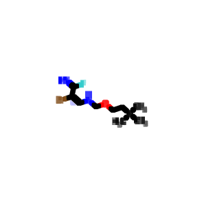 C[Si](C)(C)CCOCN/C=C(/Br)C(=N)F